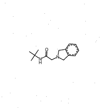 CC(C)(C)NC(=O)CN1Cc2ccccc2C1